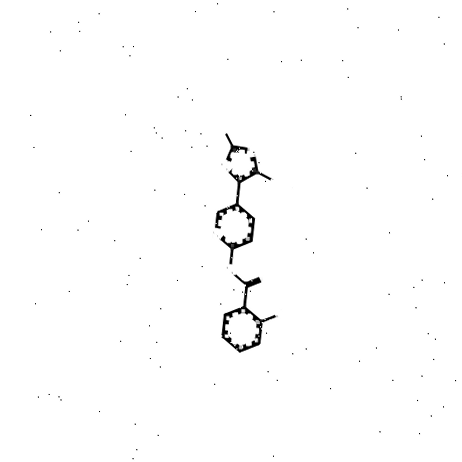 Cc1ccccc1C(=O)Nc1ccc(-c2nc(C(F)(F)F)oc2C)cn1